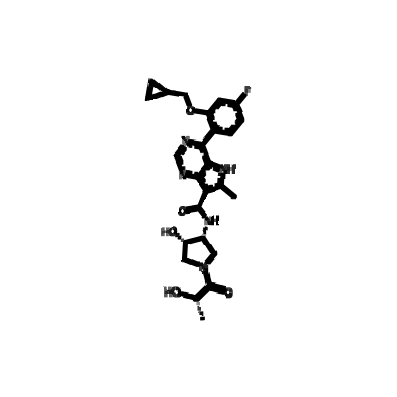 Cc1[nH]c2c(-c3ccc(F)cc3OCC3CC3)ncnc2c1C(=O)N[C@@H]1CN(C(=O)[C@H](C)O)C[C@@H]1O